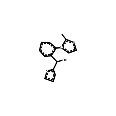 Cc1nccn1-c1ccccc1C(O)c1cccs1